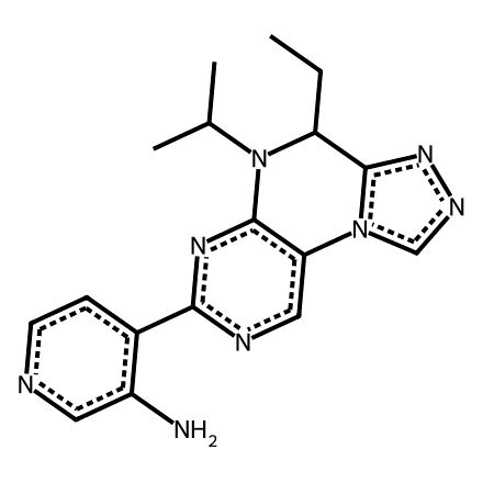 CCC1c2nncn2-c2cnc(-c3ccncc3N)nc2N1C(C)C